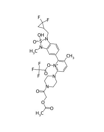 CC(=O)OCC(=O)N1CCN(c2ccc(C)c(-c3ccc4c(c3)N(C)S([O-])(O)N4CC3CC3(F)F)[n+]2OC(=O)C(F)(F)F)CC1